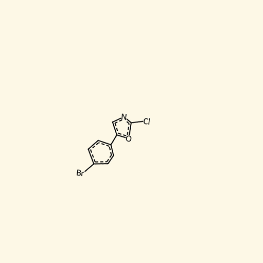 Clc1ncc(-c2ccc(Br)cc2)o1